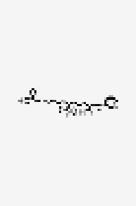 CS(=O)(=O)C(CCCCCCC(=O)O)CCCC(O)COc1cccnc1